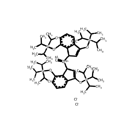 [CH2]=[Zr+2]([CH]1C=C(O[Si](C(C)C)(C(C)C)C(C)C)c2cccc(O[Si](C(C)C)(C(C)C)C(C)C)c21)[CH]1C=C(O[Si](C(C)C)(C(C)C)C(C)C)c2cccc(O[Si](C(C)C)(C(C)C)C(C)C)c21.[Cl-].[Cl-]